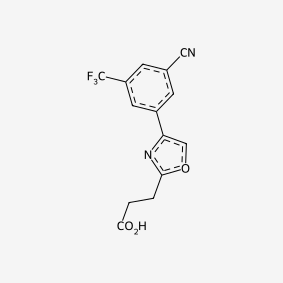 N#Cc1cc(-c2coc(CCC(=O)O)n2)cc(C(F)(F)F)c1